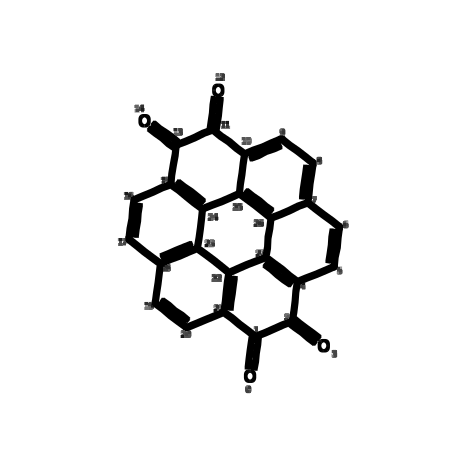 O=c1c(=O)c2ccc3ccc4c(=O)c(=O)c5ccc6ccc1c1c6c5c4c3c21